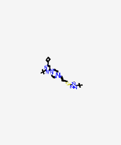 Cn1c(SCCCN2CCN(c3cc(C4CCC4)nc(C(C)(C)C)n3)CC2)nnc1C(C)(C)C